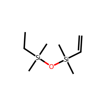 C=C[Si](C)(C)O[Si](C)(C)CC